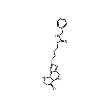 O=C(CCCCOc1cc2n(c1)C1NCCC(=O)C1NC2)NCc1ccccc1